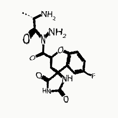 C[C@H](N)C(=O)N(N)C(=O)C1CC2(NC(=O)NC2=O)c2cc(F)ccc2O1